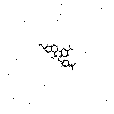 CC(C)c1ccc(N(Cc2ccc(N(C)C)cc2)C(=O)C2CCCc3cc(O)ccc32)cc1